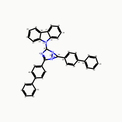 c1ccc(-c2ccc(C3=NC(n4c5ccccc5c5ccccc54)N4C(c5ccc(-c6ccccc6)cc5)N34)cc2)cc1